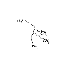 CCCCCCC(CCCC)CC(CCCCCC)CCCCCC